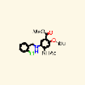 CCCCOc1cc(NC(C)=O)c(NCc2ccccc2Cl)cc1C(=O)OC